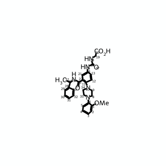 COc1ccccc1N1CCN(c2ccc(NC(=O)NCC(=O)O)cc2C(=O)NC(C)c2ccccc2)CC1